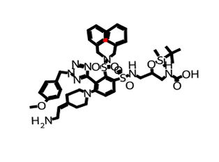 COc1ccc(Cn2nnc(-c3c(N4CCC(=CCN)CC4)ccc(S(=O)(=O)NCC(CNC(=O)O)O[Si](C)(C)C(C)(C)C)c3S(=O)(=O)N(Cc3ccccc3)Cc3ccccc3)n2)cc1